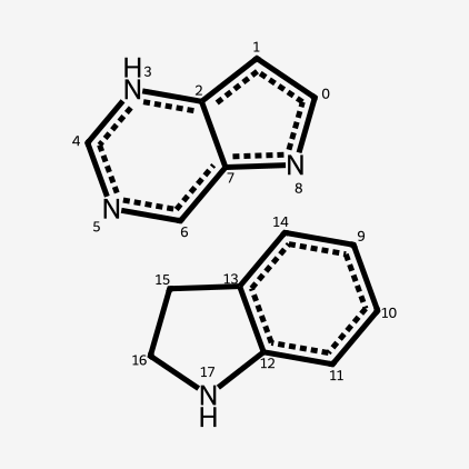 c1cc2[nH]cncc-2n1.c1ccc2c(c1)CCN2